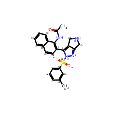 CC(=O)Nc1c(-c2c3c(nn2S(=O)(=O)c2cccc(C)c2)CNC3)ccc2ccccc12